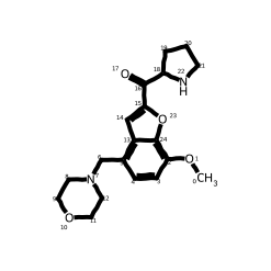 COc1ccc(CN2CCOCC2)c2cc(C(=O)C3CCCN3)oc12